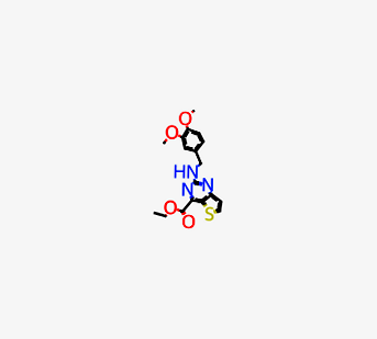 CCOC(=O)c1nc(NCc2ccc(OC)c(OC)c2)nc2ccsc12